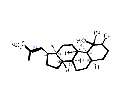 C/C(=C\[C@@H]1CC[C@H]2[C@@H]3CC[C@@H]4CCC(O)C(O)(O)[C@]4(C)[C@H]3CC[C@]12C)C(=O)O